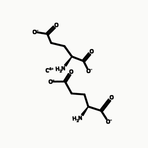 N[C@@H](CCC(=O)[O-])C(=O)[O-].N[C@@H](CCC(=O)[O-])C(=O)[O-].[C+4]